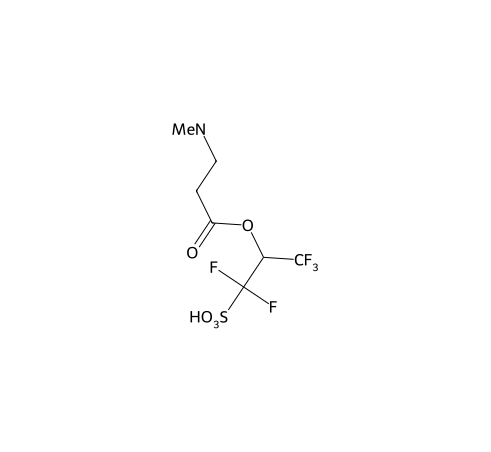 CNCCC(=O)OC(C(F)(F)F)C(F)(F)S(=O)(=O)O